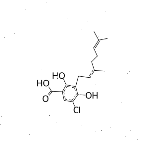 CC(C)=CCCC(C)=CCc1c(O)c(Cl)cc(C(=O)O)c1O